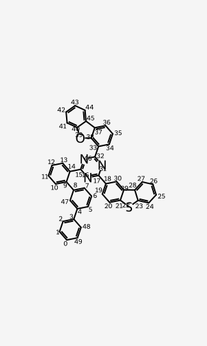 c1ccc(-c2cccc(-c3ccccc3-c3nc(-c4ccc5sc6ccccc6c5c4)nc(-c4cccc5c4oc4ccccc45)n3)c2)cc1